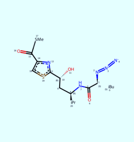 CC[C@H](C)[C@H](N=[N+]=[N-])C(=O)N[C@H](C[C@@H](O)c1nc(C(=O)SC)cs1)C(C)C